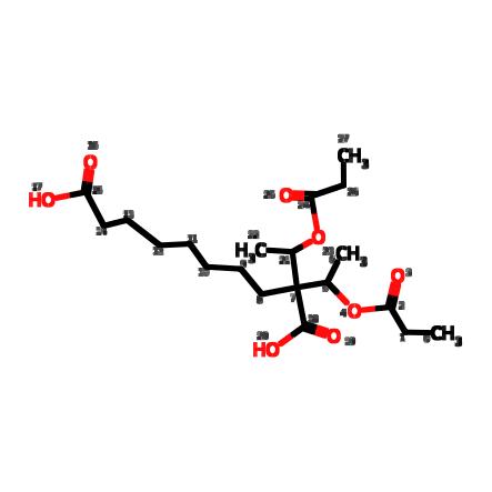 CCC(=O)OC(C)C(CCCCCCCC(=O)O)(C(=O)O)C(C)OC(=O)CC